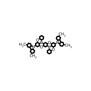 Cc1ccc2c(c1)c1cc(C)ccc1n2-c1cc2c3c(c1)Oc1cc4c(cc1B3c1ccccc1O2)Oc1cc(-n2c3ccc(C)cc3c3cc(C)ccc32)cc2c1B4c1ccccc1O2